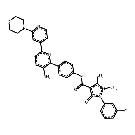 Cc1c(C(=O)Nc2ccc(-c3nc(-c4ccnc(N5CCOCC5)c4)cnc3N)nc2)c(=O)n(-c2cccc(Cl)c2)n1C